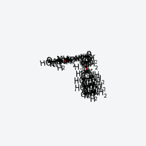 CC(N)=O.C[N+](C)(C)CCO.C[N+](C)(C)CCO.C[N+](C)(C)CCO.N=C(N)NCCC[C@H](N)C(=O)O.N=C(N)NCCC[C@H](N)C(=O)O.N=C(N)NCCC[C@H](N)C(=O)O.N=C(N)NCCC[C@H](N)C(=O)[O-].N[C@@H](Cc1ccccc1)C(=O)[O-].N[C@@H](Cc1ccccc1)C(=O)[O-]